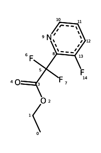 CCOC(=O)C(F)(F)c1ncccc1F